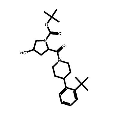 CC(C)(C)OC(=O)N1CC(O)CC1C(=O)N1CCC(c2ccccc2C(C)(C)C)CC1